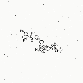 CC(C)(C)OC(=O)N1CCN(C(=O)C(C)(C)Oc2cccc(N3CCC[C@@H](C(=O)N(Cc4ccc(Br)cc4C(F)(F)F)C4CC4)C3)c2)CC1